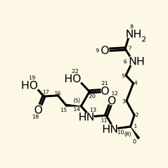 C[C@H](CCCCNC(N)=O)NC(=O)N[C@@H](CCC(=O)O)C(=O)O